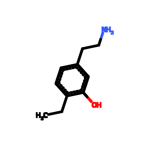 CCc1ccc(CCN)cc1O